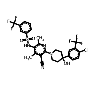 Cc1nc(N2CCC(O)(c3ccc(Cl)c(C(F)(F)F)c3)CC2)c(C#N)c(C)c1NS(=O)(=O)c1cccc(C(F)(F)F)c1